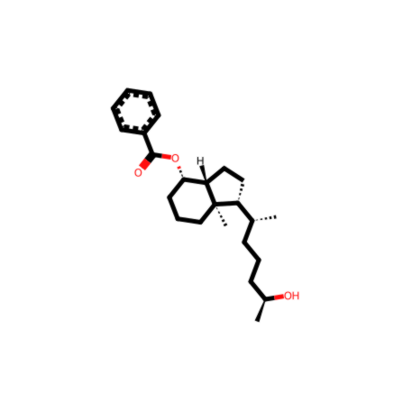 C[C@H](O)CCC[C@@H](C)[C@H]1CC[C@H]2[C@@H](OC(=O)c3ccccc3)CCC[C@]12C